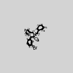 O=C1C(c2cccc(Br)c2)n2cncc2CN1CC1CCCCC1